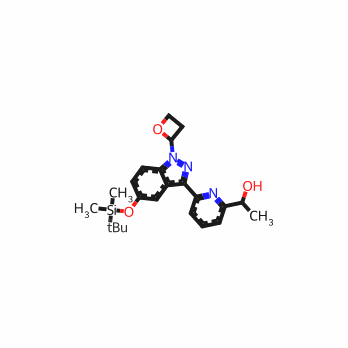 CC(O)c1cccc(-c2nn(C3CCO3)c3ccc(O[Si](C)(C)C(C)(C)C)cc23)n1